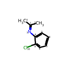 CC(C)=Nc1ccccc1Cl